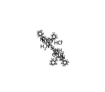 Cl.N[C@@H](CSSC[C@H](N)C(=O)N1CCn2nc(-c3ccccc3)cc2C1CCc1ccccc1)C(=O)N1CCn2nc(-c3ccccc3)cc2C1CCc1ccccc1